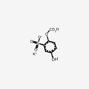 O=C(O)Oc1ccc(O)cc1S(=O)(=O)[O-].[K+]